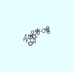 Cc1[nH]c2c(-c3ccccc3)c(C(F)(F)F)nn2c(=O)c1-c1nnc(C2CCN(S(C)(=O)=O)CC2)o1